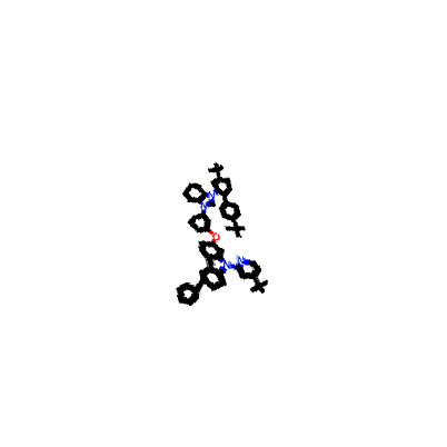 CC(C)(C)c1ccc(-c2ccc(C(C)(C)C)cc2-[n+]2cn(-c3cccc(Oc4ccc5c6cc(-c7ccccc7)ccc6n(-c6cc(C(C)(C)C)ccn6)c5c4)c3)c3ccccc32)cc1